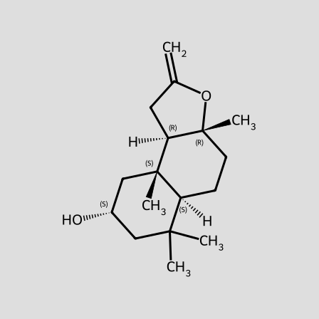 C=C1C[C@@H]2[C@@]3(C)C[C@@H](O)CC(C)(C)[C@@H]3CC[C@@]2(C)O1